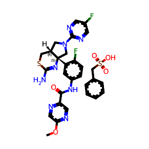 COc1cnc(C(=O)Nc2ccc(F)c([C@]34CN(c5ncc(F)cn5)C[C@H]3CSC(N)=N4)c2)cn1.O=S(=O)(O)Cc1ccccc1